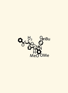 CCCCC(=O)N1CCN(c2nc(NC(=O)C3CCCN3C(=O)C(C)CSC(=O)c3ccccc3)c3cc(OC)c(OC)cc3n2)CC1